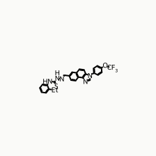 CCc1ccccc1NC(=S)N/N=C/c1ccc2c(ccc3c2ncn3-c2ccc(OC(F)(F)F)cc2)c1